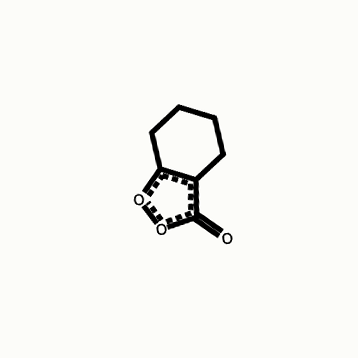 O=c1ooc2c1CCCC2